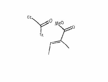 CC=C(C)C(=O)OC.CCC(=O)CC